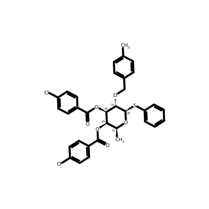 Cc1ccc(CO[C@H]2[C@H](OC(=O)c3ccc(Cl)cc3)[C@H](OC(=O)c3ccc(Cl)cc3)[C@H](C)O[C@@H]2Sc2ccccc2)cc1